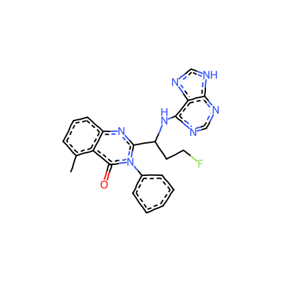 Cc1cccc2nc(C(CCF)Nc3ncnc4[nH]cnc34)n(-c3ccccc3)c(=O)c12